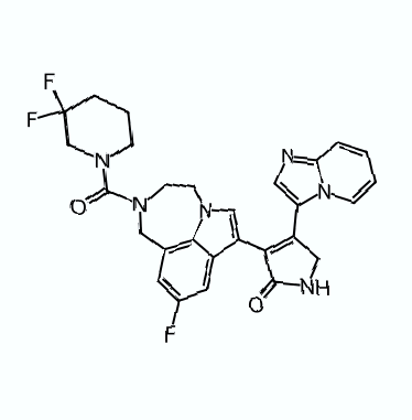 O=C1NCC(c2cnc3ccccn23)=C1c1cn2c3c(cc(F)cc13)CN(C(=O)N1CCCC(F)(F)C1)CC2